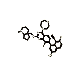 C#Cc1c(F)ccc2cc(O)cc(-c3ccc4c(N5CCCOCC5)nc(OCC56CCCC5N(C)CCC6)nc4c3F)c12